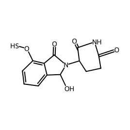 O=C1CCC(N2C(=O)c3c(OS)cccc3C2O)C(=O)N1